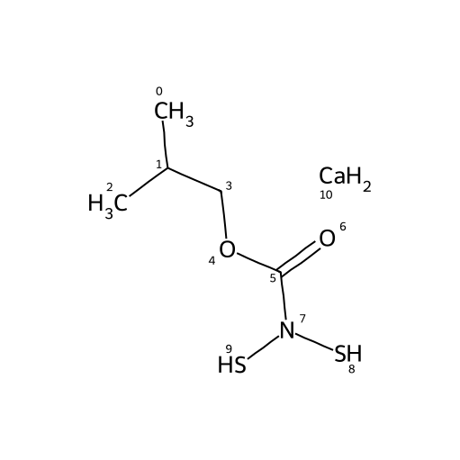 CC(C)COC(=O)N(S)S.[CaH2]